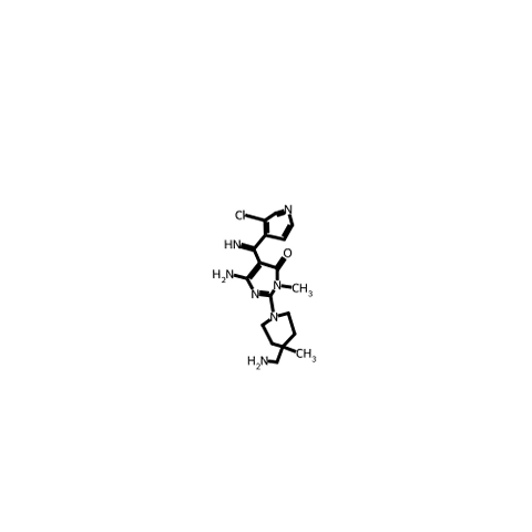 Cn1c(N2CCC(C)(CN)CC2)nc(N)c(C(=N)c2ccncc2Cl)c1=O